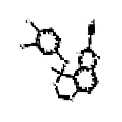 CC1(Nc2ccc(Cl)c(Cl)c2)NC=Nc2ccc3nc(C#N)sc3c21